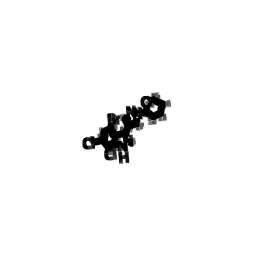 Clc1cc(Br)c2c(-c3cnn(C4CCCCO4)c3)n[nH]c2c1Cl